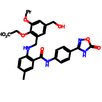 Cc1ccc(NCc2cc(CO)cc(OC(C)C)c2OCC(=O)O)c(C(=O)Nc2ccc(-c3noc(=O)[nH]3)cc2)c1